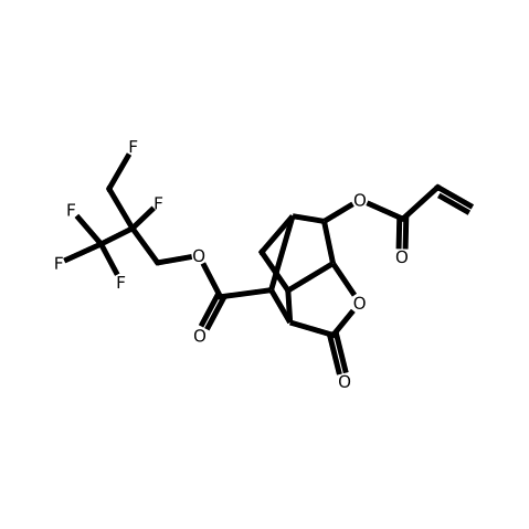 C=CC(=O)OC1C2CC3C1OC(=O)C3C2C(=O)OCC(F)(CF)C(F)(F)F